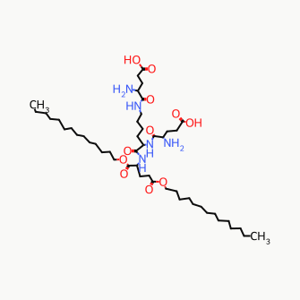 CCCCCCCCCCCCCCOC(=O)CCC(NC(=O)C(CCCCNC(=O)C(N)CCC(=O)O)NC(=O)C(N)CCC(=O)O)C(=O)OCCCCCCCCCCCCCC